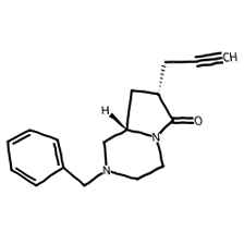 C#CC[C@H]1C[C@H]2CN(Cc3ccccc3)CCN2C1=O